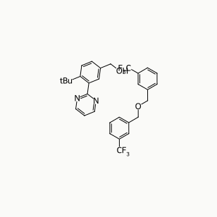 CC(C)(C)c1ccc(CO)cc1-c1ncccn1.FC(F)(F)c1cccc(COCc2cccc(C(F)(F)F)c2)c1